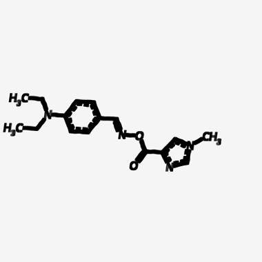 CCN(CC)c1ccc(C=NOC(=O)c2cn(C)cn2)cc1